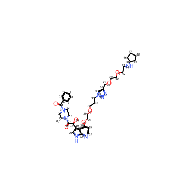 C[C@@H]1CN(C(=O)c2ccccc2)CCN1C(=O)C(=O)c1c[nH]c2nccc(OCCOCCCn3cc(COCCOCCNC4CCCC4)nn3)c12